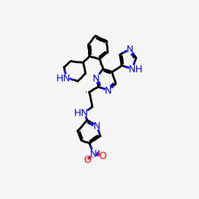 O=[N+]([O-])c1ccc(NC[CH]c2ncc(-c3cnc[nH]3)c(-c3ccccc3C3CCNCC3)n2)nc1